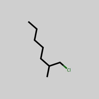 CCCCC[C](C)CCl